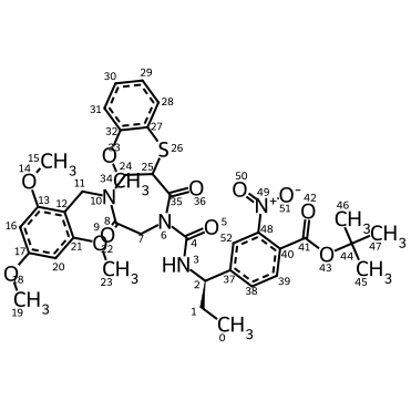 CC[C@@H](NC(=O)N1CC(=O)N(Cc2c(OC)cc(OC)cc2OC)CC(Sc2ccccc2OC)C1=O)c1ccc(C(=O)OC(C)(C)C)c([N+](=O)[O-])c1